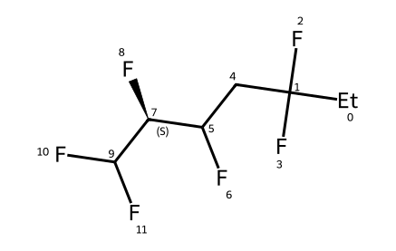 [CH2]CC(F)(F)CC(F)[C@H](F)C(F)F